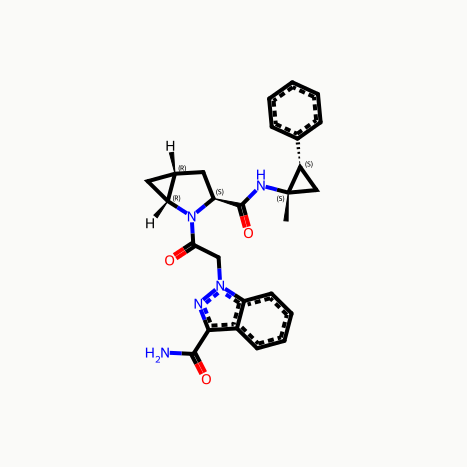 C[C@]1(NC(=O)[C@@H]2C[C@H]3C[C@H]3N2C(=O)Cn2nc(C(N)=O)c3ccccc32)C[C@H]1c1ccccc1